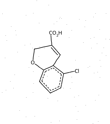 O=C(O)C1=Cc2c(Cl)cccc2OC1